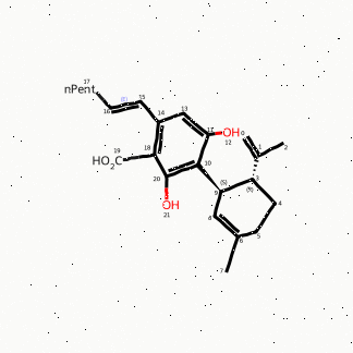 C=C(C)[C@@H]1CCC(C)=C[C@H]1c1c(O)cc(/C=C/CCCCC)c(C(=O)O)c1O